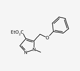 CCOC(=O)c1cnn(C)c1COc1ccccc1